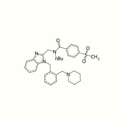 CCCCN(Cc1nc2ccccc2n1Cc1ccccc1CN1CCCCC1)C(=O)c1ccc(S(C)(=O)=O)cc1